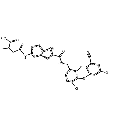 CN(CC(=O)Nc1ccc2[nH]c(C(=O)NCc3ccc(Cl)c(Oc4cc(Cl)cc(C#N)c4)c3F)cc2c1)C(=O)O